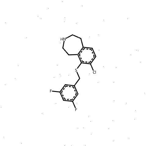 Fc1cc(F)cc(CSc2c(Cl)ccc3c2CCNCC3)c1